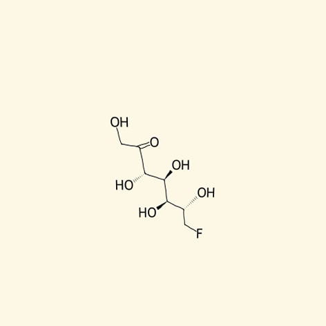 O=C(CO)[C@@H](O)[C@@H](O)[C@H](O)[C@H](O)CF